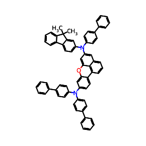 CC1(C)c2ccccc2-c2ccc(N(c3ccc(-c4ccccc4)cc3)c3cc4c5c(cccc5c3)-c3ccc(N(c5ccc(-c6ccccc6)cc5)c5ccc(-c6ccccc6)cc5)cc3O4)cc21